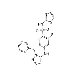 O=S(=O)(Nc1nccs1)c1ccc(Nc2ccnn2Cc2ccccc2)cc1F